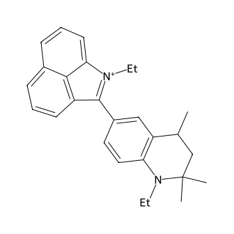 CCN1c2ccc(C3=[N+](CC)c4cccc5cccc3c45)cc2C(C)CC1(C)C